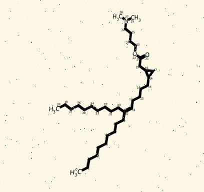 CCCCCCCCCCC(=CCCCCC1CC1CC(=O)OCCCCN(C)C)CCCCCCCCCC